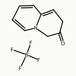 F[B-](F)(F)F.O=C1CC=C2C=CC=CN2C1